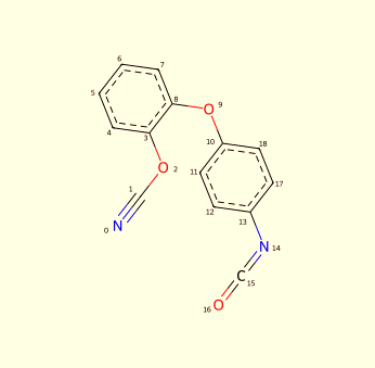 N#COc1ccccc1Oc1ccc(N=C=O)cc1